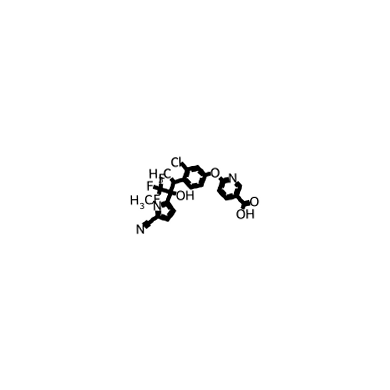 CC(c1ccc(Oc2ccc(C(=O)O)cn2)cc1Cl)C(O)(c1ccc(C#N)n1C)C(F)(F)F